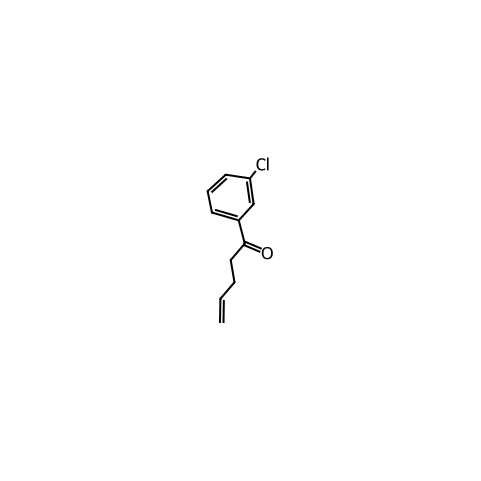 C=CCCC(=O)c1cccc(Cl)c1